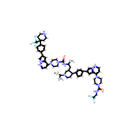 CC(CC1CN(C(C)C)CCC1c1ccc(-c2cc3c(N4CCN(C(=O)NCC(F)F)CC4)ccnn3c2)cc1)NC(=O)N1CCN(c2ccnn3cc(-c4ccc(C5(C(F)(F)F)CCNCC5)cc4)cc23)CC1